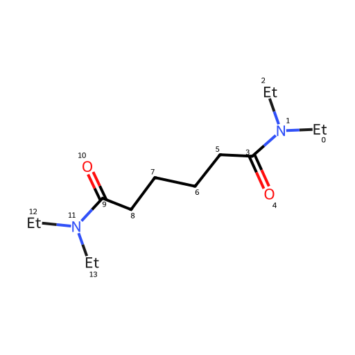 CCN(CC)C(=O)CCCCC(=O)N(CC)CC